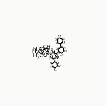 CC1(C)OB(c2nc(-c3ccccc3)nc(-c3cccc(-c4ccccc4)c3)n2)OC1(C)C